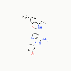 Cc1ccc([C@@H](C)NC(=O)c2cnc3c(c2)c(N)nn3C2CCCC(O)C2)cc1